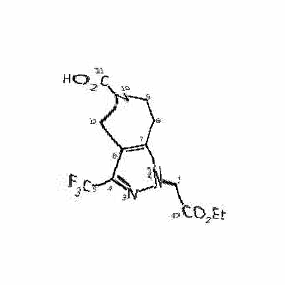 CCOC(=O)Cn1nc(C(F)(F)F)c2c1CCN(C(=O)O)C2